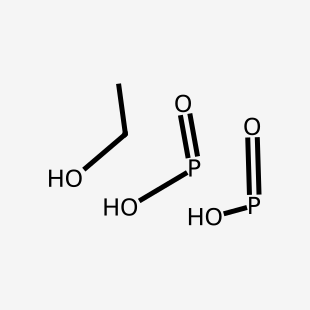 CCO.O=PO.O=PO